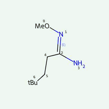 CO/N=C(/N)CCC(C)(C)C